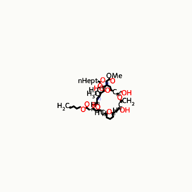 C=CCCCOC(=O)C[C@H]1C[C@H]2C[C@H]3CCC[C@@H](C[C@@H](O)CC(=C)O[C@@H](CO)CC4C/C(=C\C(=O)OC)[C@H](OC(=O)CCCCCCC)C(O)(O4)C(C)(C)/C=C/[C@H](O2)O1)O3